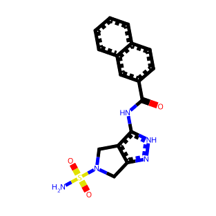 NS(=O)(=O)N1Cc2n[nH]c(NC(=O)c3ccc4ccccc4c3)c2C1